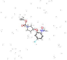 C[NH+]([O-])c1ccc(F)cc1O[C@H]1CCN(C(=O)OC(C)(C)C)C1